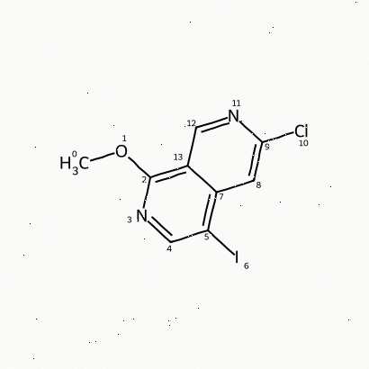 COc1ncc(I)c2cc(Cl)ncc12